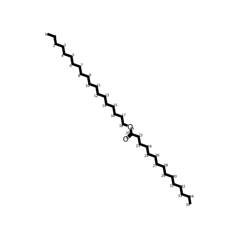 CCCCCCCCCCCCCCCCCCCOC(=O)CCCCCCCCCCCCCC